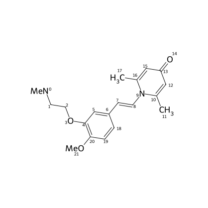 CNCCOc1cc(/C=C/n2c(C)cc(=O)cc2C)ccc1OC